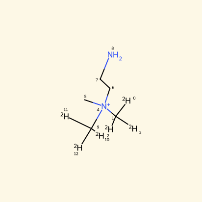 [2H]C([2H])([2H])[N+](C)(CCN)C([2H])([2H])[2H]